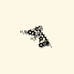 CCOc1cc(OC2C[C@@H](C=O)N(C(=O)[C@H](CCCCCCC[C@@H]3C[C@]3(N)P(=O)(O)Cc3c(F)cccc3F)NC(=O)OC3CCCC3)C2)c2ccc(OC)cc2n1